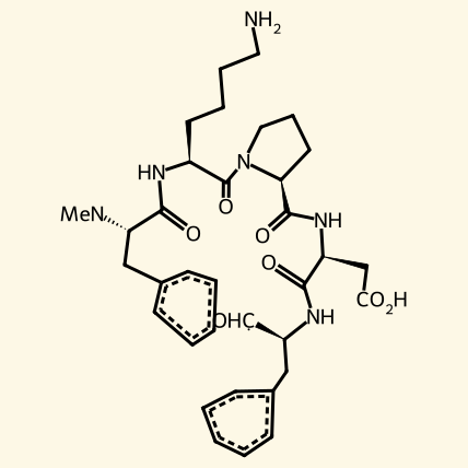 CN[C@@H](Cc1ccccc1)C(=O)N[C@@H](CCCCN)C(=O)N1CCC[C@H]1C(=O)N[C@@H](CC(=O)O)C(=O)N[C@H]([C]=O)Cc1ccccc1